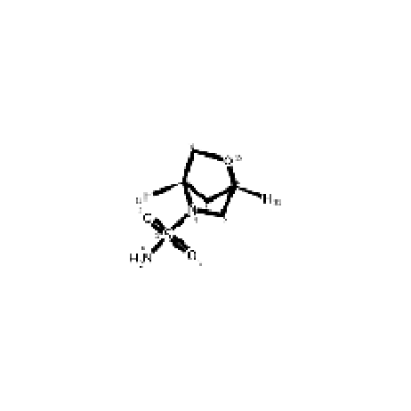 NS(=O)(=O)N1C[C@@H]2C[C@H]1CO2